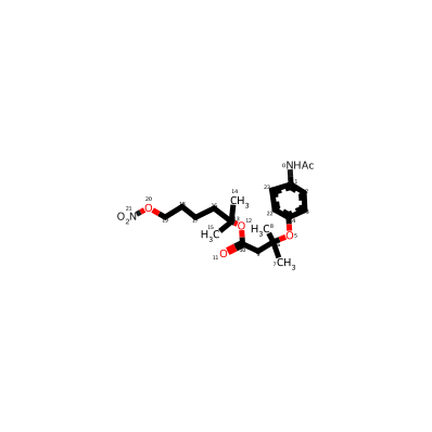 CC(=O)Nc1ccc(OC(C)(C)CC(=O)OC(C)(C)CCCCO[N+](=O)[O-])cc1